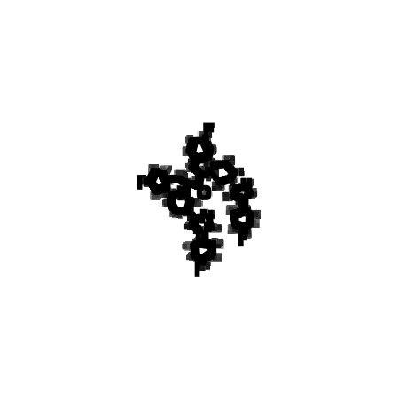 O=C(C(Cc1ccc(F)cc1)N1CCC[C@H](c2cn(-c3ccc(F)cc3)cn2)C1)C(Cc1ccc(F)cc1)N1CCC[C@H](c2cn(-c3ccc(F)cc3)cn2)C1